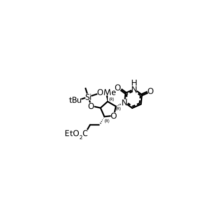 CCOC(=O)CC[C@H]1O[C@@H](n2ccc(=O)[nH]c2=O)[C@H](OC)C1O[Si](C)(C)C(C)(C)C